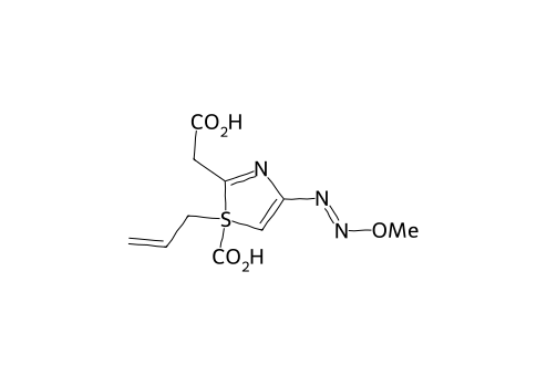 C=CCS1(C(=O)O)C=C(N=NOC)N=C1CC(=O)O